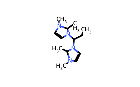 CCC(N1C=CN(C)C1C)N1C=CN(C)C1C